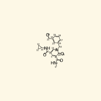 CNC(=O)c1cc(C(=O)NC2CC2)cn(Cc2cccc(C=O)c2)c1=O